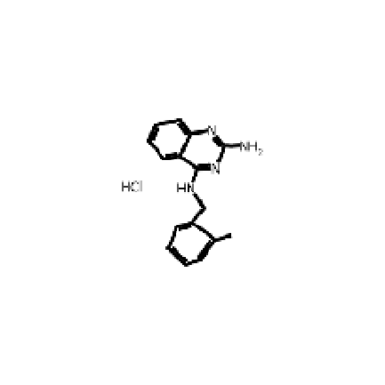 Cc1ccccc1CNc1nc(N)nc2ccccc12.Cl